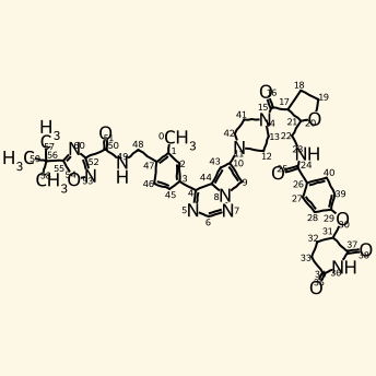 Cc1cc(-c2ncnn3cc(N4CCN(C(=O)C5CCOC5CNC(=O)c5ccc(OC6CCC(=O)NC6=O)cc5)CC4)cc23)ccc1CNC(=O)c1noc(C(C)(C)C)n1